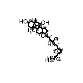 C[C@]12CCC3[C@@H]([C@@H](O)C[C@@H]4C[C@H](O)CC[C@]34C)[C@@H]1CC[C@@H]2CCCC(=O)NCc1ccc(C(=O)NO)o1